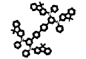 CC1(C)c2ccccc2-c2ccc(N(c3ccccc3)c3cc(-c4ccc(-c5ccc(-c6cc(N(c7ccccc7)c7ccc8c(c7)C(C)(C)c7ccccc7-8)cc(N(c7ccccc7)c7ccc8c(c7)C(C)(C)c7ccccc7-8)c6)cc5)cc4)cc(N(c4ccccc4)c4ccc5c(c4)C(C)(C)c4ccccc4-5)c3)cc21